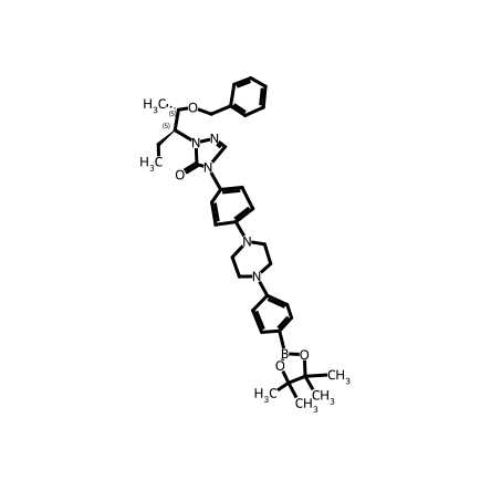 CC[C@@H]([C@H](C)OCc1ccccc1)n1ncn(-c2ccc(N3CCN(c4ccc(B5OC(C)(C)C(C)(C)O5)cc4)CC3)cc2)c1=O